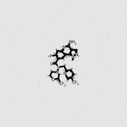 Cn1ncc2c(N)nc3cc(F)c(C(=O)N(Cc4ccc(C(F)(F)F)cn4)N4CCOC(C(F)(F)F)C4)cc3c21